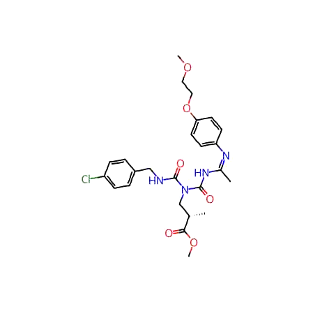 COCCOc1ccc(/N=C(/C)NC(=O)N(C[C@H](C)C(=O)OC)C(=O)NCc2ccc(Cl)cc2)cc1